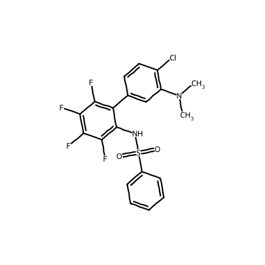 CN(C)c1cc(-c2c(F)c(F)c(F)c(F)c2NS(=O)(=O)c2ccccc2)ccc1Cl